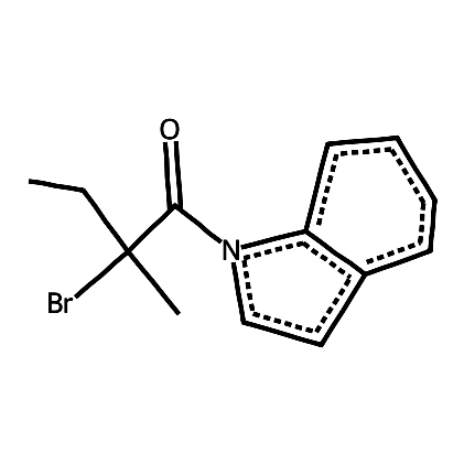 CCC(C)(Br)C(=O)n1ccc2ccccc21